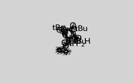 CC(C)(C)OC(=O)CN1CCN(CC(=O)OC(C)(C)C)CCN(CC(NC(=O)OCC2c3ccccc3-c3ccccc32)C(=O)O)CCN(CC(=O)OC(C)(C)C)CC1